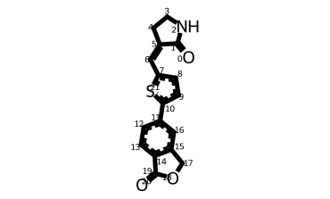 O=C1NCCC1=Cc1ccc(-c2ccc3c(c2)COC3=O)s1